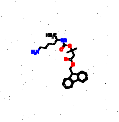 CC(C)(CC(=O)OCC1c2ccccc2-c2ccccc21)OC(=O)N[C@@H](CCCCN)C(=O)O